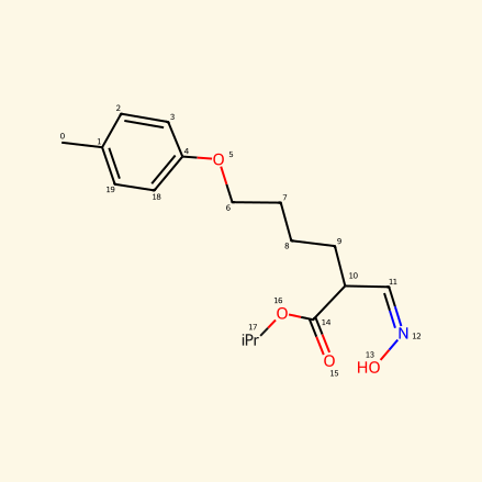 Cc1ccc(OCCCCC(/C=N\O)C(=O)OC(C)C)cc1